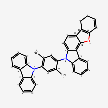 N#Cc1cc(-n2c3ccccc3c3c4oc5c(c4ccc32)CCC=C5)c(C#N)cc1-n1c2ccccc2c2ccccc21